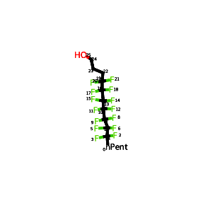 CCCCCC(F)(F)C(F)(F)C(F)(F)C(F)(F)C(F)(F)C(F)(F)C(F)(F)CCCO